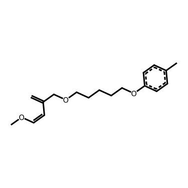 C=C(/C=C\OC)COCCCCCOc1ccc(C)cc1